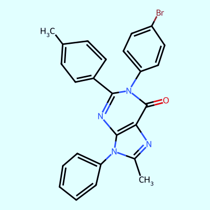 Cc1ccc(-c2nc3c(nc(C)n3-c3ccccc3)c(=O)n2-c2ccc(Br)cc2)cc1